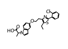 CCc1sc(-c2ccccc2Cl)nc1CCOc1ccc2c(ccn2C(C)C(=O)O)c1